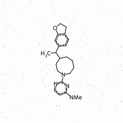 CNc1ccnc(N2CCCCC(C(C)c3ccc4c(c3)OCC4)CC2)n1